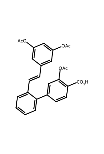 CC(=O)Oc1cc(/C=C/c2ccccc2-c2ccc(C(=O)O)c(OC(C)=O)c2)cc(OC(C)=O)c1